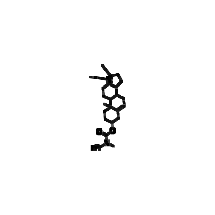 CCCN(C)C(=O)OC1CCC2(C)C(=CCC3C2CCC24CN(C)C(C)C2CCC34)C1